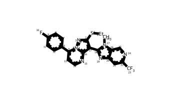 CCSc1nn2c(-c3ccc(F)cc3)ccnc2c1-c1nc2cc(C(F)(F)F)ncc2n1C